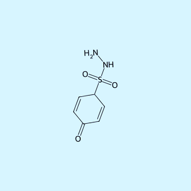 NNS(=O)(=O)C1C=CC(=O)C=C1